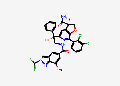 COc1cc(C(=O)NC[C@@](O)(c2ccccc2)c2cc3c(c(-c4cccc(Cl)c4Cl)n2)OC[C@]3(C)C(N)=O)cc2cn(C(F)F)nc12